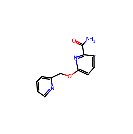 NC(=O)c1[c]ccc(OCc2ccccn2)n1